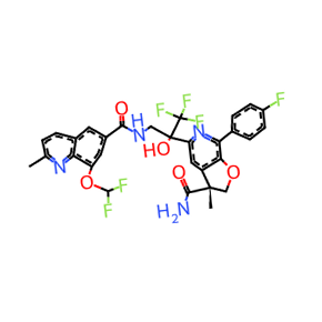 Cc1ccc2cc(C(=O)NCC(O)(c3cc4c(c(-c5ccc(F)cc5)n3)OC[C@]4(C)C(N)=O)C(F)(F)F)cc(OC(F)F)c2n1